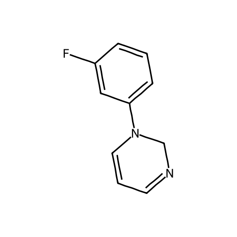 Fc1cccc(N2C=CC=NC2)c1